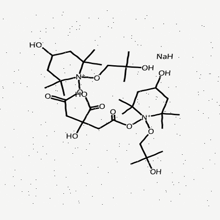 CC(C)(O)CO[N+]1(OC(=O)CC(O)(CC(=O)O[N+]2(OCC(C)(C)O)C(C)(C)CC(O)CC2(C)C)C(=O)O)C(C)(C)CC(O)CC1(C)C.[NaH]